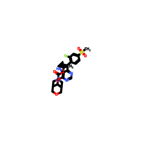 CC1(OC(=O)N2CC3COCC(C2)C3Oc2ncnc3c(-c4ccc(S(C)(=O)=O)cc4F)c[nH]c23)CC1